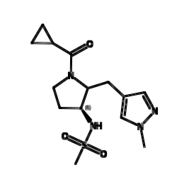 Cn1cc(CC2[C@@H](NS(C)(=O)=O)CCN2C(=O)C2CC2)cn1